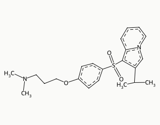 CC(C)c1cn2ccccc2c1S(=O)(=O)c1ccc(OCCCN(C)C)cc1